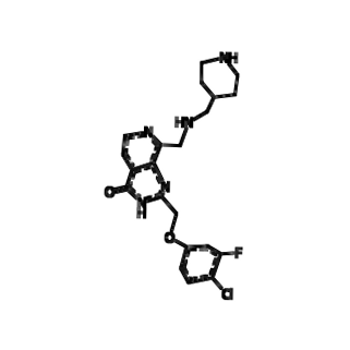 O=c1[nH]c(COc2ccc(Cl)c(F)c2)nc2c(CNCC3CCNCC3)nccc12